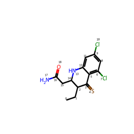 CCC1C(=S)c2c(Cl)cc(Cl)cc2NC1CC(N)=O